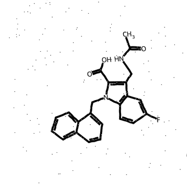 CC(=O)NCc1c(C(=O)O)n(Cc2cccc3ccccc23)c2ccc(F)cc12